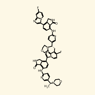 C[C@H](c1ccc(Nc2ccc(-c3cnc4c(C[C@@H](c5ccc(Nc6ccc(-c7cnc8cc(F)ccn78)c7c6C(=O)NC7)nc5)N5CCOCC5)c(F)ccn34)c3c2C(=O)NC3)nc1)N1CCOCC1